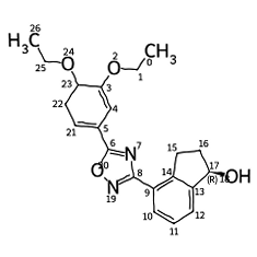 CCOC1=CC(c2nc(-c3cccc4c3CC[C@H]4O)no2)=CCC1OCC